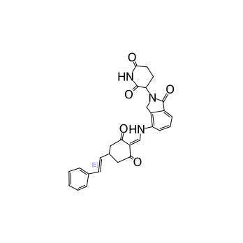 O=C1CCC(N2Cc3c(NC=C4C(=O)CC(/C=C/c5ccccc5)CC4=O)cccc3C2=O)C(=O)N1